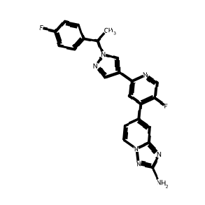 CC(c1ccc(F)cc1)n1cc(-c2cc(-c3ccn4nc(N)nc4c3)c(F)cn2)cn1